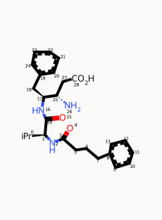 CC(C)[C@H](NC(=O)CCCc1ccccc1)C(=O)N[C@@H](Cc1ccccc1)[C@@H](N)CC(=O)O